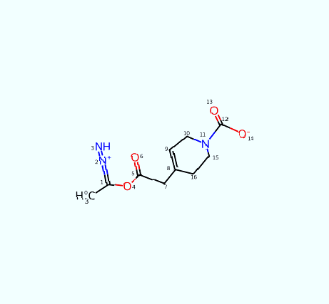 CC(=[N+]=N)OC(=O)CC1=CCN(C(=O)[O-])CC1